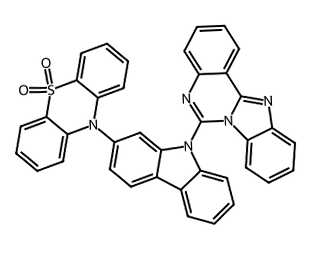 O=S1(=O)c2ccccc2N(c2ccc3c4ccccc4n(-c4nc5ccccc5c5nc6ccccc6n45)c3c2)c2ccccc21